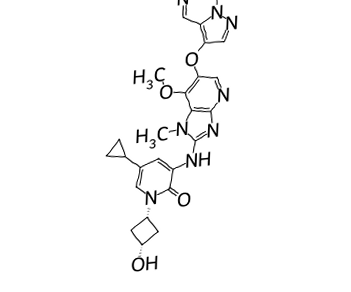 COc1c(Oc2cnn3ccncc23)cnc2nc(Nc3cc(C4CC4)cn([C@H]4C[C@@H](O)C4)c3=O)n(C)c12